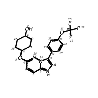 OC1CCC(Oc2ccc3ncc(-c4ccc(OC(F)(F)F)cc4)n3n2)CC1